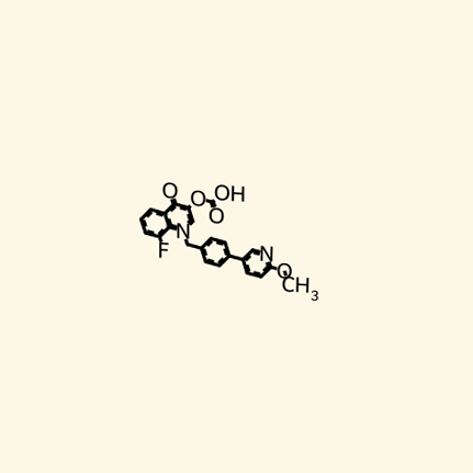 COc1ccc(-c2ccc(Cn3cc(OC(=O)O)c(=O)c4cccc(F)c43)cc2)cn1